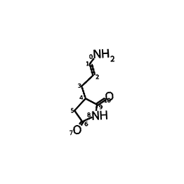 NC=CCC1CC(=O)NC1=O